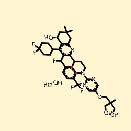 CC1(C)Cc2nc(C3CCN(c4ncc(OCC(C)(CO)CO)cn4)CC3)c(C(F)c3ccc(C(F)(F)F)cc3)c(C3CCC(F)(F)CC3)c2[C@@H](O)C1.Cl.Cl